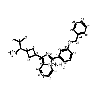 CC(C)C(N)C1CC(C2=C3C=NC=C[N+]3(N)C(c3cccc(OCc4ccccc4)c3)=N2)C1